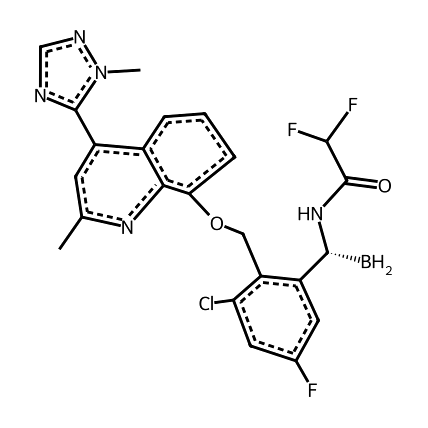 B[C@@H](NC(=O)C(F)F)c1cc(F)cc(Cl)c1COc1cccc2c(-c3ncnn3C)cc(C)nc12